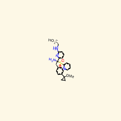 COC1(c2ccc(CC(N)(c3cccc(NCC(=O)O)n3)S(=O)(=O)c3ccccn3)cc2)CC1